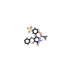 Cc1c(Cc2ccccc2)c(-c2cc(S(C)(=O)=O)ccc2OCC2CC2)c[nH]c1=O